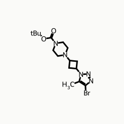 Cc1c(Br)nnn1C1CC(N2CCN(C(=O)OC(C)(C)C)CC2)C1